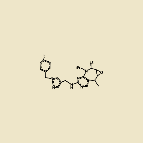 CC[C@H]1C2OC2N(C)c2cnc(NCc3cnn(Cc4ccc(F)cc4)c3)nc2N1C(C)C